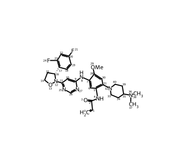 C=CC(=O)Nc1cc(Nc2cc(N3OCC[C@@H]3c3ccc(F)cc3F)ncn2)c(OC)cc1N1CCC(N(C)C)CC1